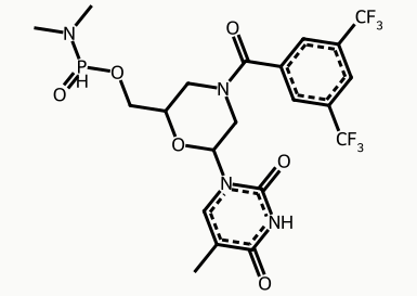 Cc1cn(C2CN(C(=O)c3cc(C(F)(F)F)cc(C(F)(F)F)c3)CC(CO[PH](=O)N(C)C)O2)c(=O)[nH]c1=O